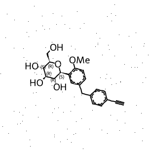 C#Cc1ccc(Cc2ccc(OC)c([C@@H]3O[C@H](CO)[C@@H](O)[C@H](O)[C@H]3O)c2)cc1